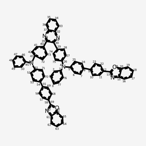 c1ccc(N(c2ccc(-c3ccc(-c4nc5ccccc5o4)cc3)cc2)c2ccc(-c3nc4ccccc4nc3-c3ccc(N(c4ccccc4)c4ccc(-c5ccc(-c6nc7ccccc7o6)cc5)cc4)cc3)cc2)cc1